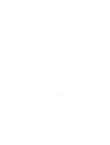 C=CSCCCC(=O)NC(C)(C)C